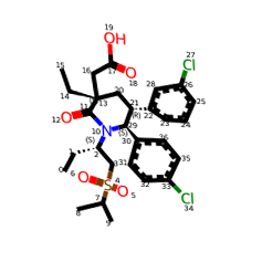 CC[C@@H](CS(=O)(=O)C(C)C)N1C(=O)[C@](CC)(CC(=O)O)C[C@H](c2cccc(Cl)c2)[C@H]1c1ccc(Cl)cc1